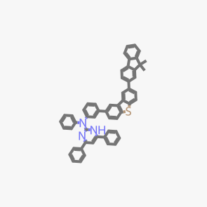 CC1(C)c2ccccc2-c2ccc(-c3ccc4sc5ccc(-c6cccc(N(c7ccccc7)C7N=C(c8ccccc8)C=C(c8ccccc8)N7)c6)cc5c4c3)cc21